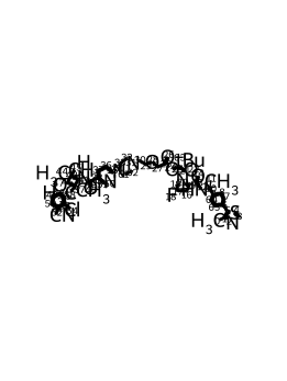 Cc1ncsc1-c1ccc([C@H](C)NC(=O)[C@@H]2C[C@@H](F)CN2C(=O)[C@@H](OC(=O)COCCN2CCN(c3ccc(C(=O)N[C@H]4C(C)(C)[C@H](Oc5ccc(C#N)c(Cl)c5)C4(C)C)cn3)CC2)C(C)(C)C)cc1